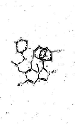 COc1cccc(C2[N+](=O)C=C3N=C(C(C)(C)C)C(CN(C)Cc4ccccc4)=C(Cc4ccccc4F)[N+]32C)c1